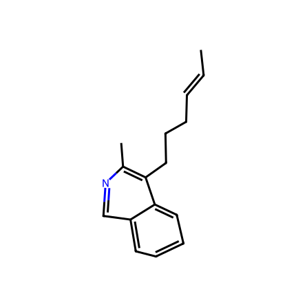 CC=CCCCc1c(C)ncc2ccccc12